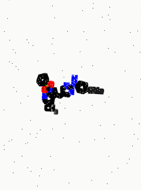 CSc1ccc(Nc2ncc(Cc3cn(S(=O)(=O)c4ccccc4)c4ncc(C)cc34)cn2)cc1